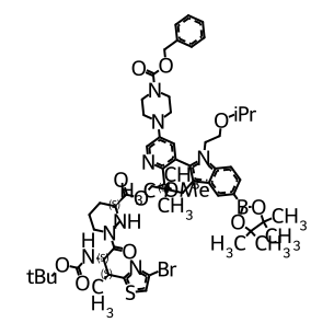 CO[C@@H](C)c1ncc(N2CCN(C(=O)OCc3ccccc3)CC2)cc1-c1c(CC(C)(C)COC(=O)[C@@H]2CCCN(C(=O)[C@@H](NC(=O)OC(C)(C)C)[C@H](C)c3nc(Br)cs3)N2)c2cc(B3OC(C)(C)C(C)(C)O3)ccc2n1CCOC(C)C